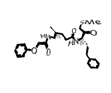 CSCC(=O)[C@H](CCc1ccccc1)NC(=O)CC[C@H](C)CNC(=O)COc1ccccc1